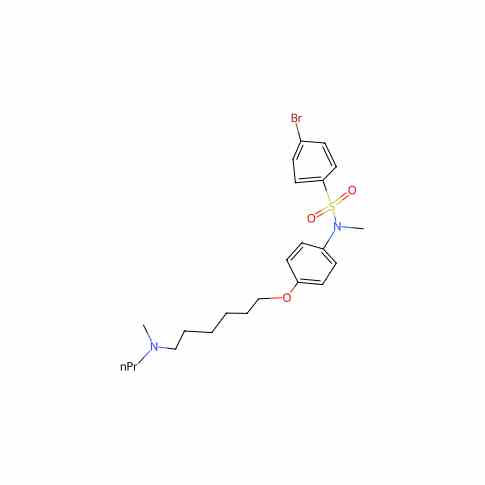 CCCN(C)CCCCCCOc1ccc(N(C)S(=O)(=O)c2ccc(Br)cc2)cc1